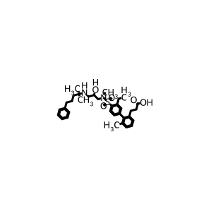 CCc1cc(-c2c(C)cccc2CCC(=O)O)ccc1S(=O)(=O)N(C)CC(O)CNC(C)(C)CCCc1ccccc1